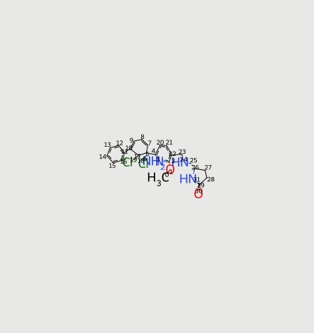 COc1nc(C2(N)C=CC=C(c3ccccc3)C2(Cl)Cl)ccc1CNC[C@@H]1CCC(=O)N1